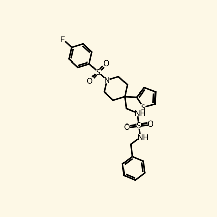 O=S(=O)(NCc1ccccc1)NCC1(c2cccs2)CCN(S(=O)(=O)c2ccc(F)cc2)CC1